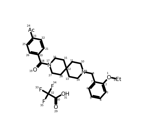 CCOc1ccccc1CN1CCC2(CC1)CCN(C(=O)c1ccc(C(C)=O)cc1)CC2.O=C(O)C(F)(F)F